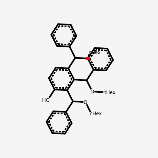 CCCCCCOC(c1ccccc1)c1ccc(O)c(C(OCCCCCC)c2ccccc2)c1C(OCCCCCC)c1ccccc1